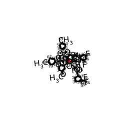 COc1ccc2c(c1)C(OCCOc1c(F)cc(F)cc1Br)(OCc1noc(-c3cccc(C(F)(F)F)c3)n1)N[N+]2(OC(c1ccc2[nH]ncc2c1)S(=O)(=O)c1ccc(C)cc1)S(=O)(=O)c1ccc(C)cc1